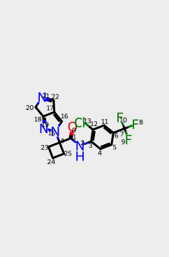 O=C(Nc1ccc(C(F)(F)F)cc1Cl)C1(n2cc3c(n2)CN=C3)CCC1